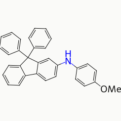 COc1ccc(Nc2ccc3c(c2)C(c2ccccc2)(c2ccccc2)c2ccccc2-3)cc1